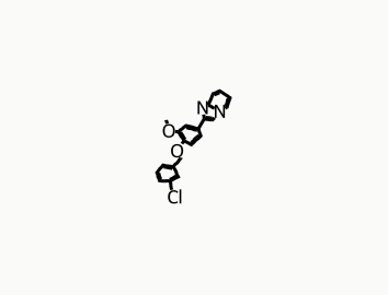 COc1cc(-c2cn3ccccc3n2)ccc1OCc1cccc(Cl)c1